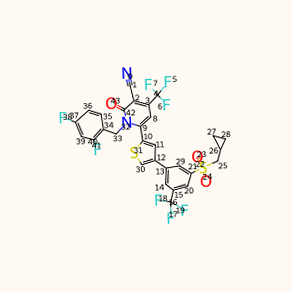 N#Cc1c(C(F)(F)F)cc(-c2cc(-c3cc(C(F)(F)F)cc(S(=O)(=O)CC4CC4)c3)cs2)n(Cc2ccc(F)cc2F)c1=O